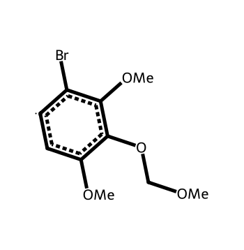 COCOc1c(OC)c[c]c(Br)c1OC